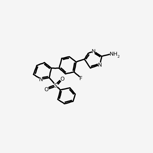 Nc1ncc(-c2ccc(-c3cccnc3S(=O)(=O)c3ccccc3)cc2F)cn1